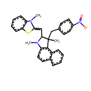 CN1/C(=C/C2N(C)c3ccc4ccccc4c3C2(C)Cc2ccc([N+](=O)[O-])cc2)Sc2ccccc21